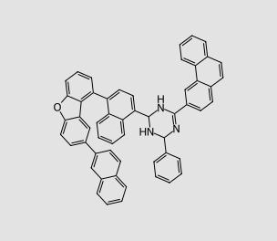 c1ccc(C2N=C(c3ccc4ccc5ccccc5c4c3)NC(c3ccc(-c4cccc5oc6ccc(-c7ccc8ccccc8c7)cc6c45)c4ccccc34)N2)cc1